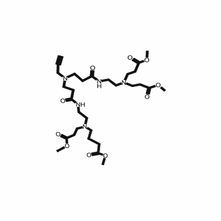 C#CCN(CCC(=O)NCCN(CCCC(=O)OC)CCC(=O)OC)CCC(=O)NCCN(CCC(=O)OC)CCC(=O)OC